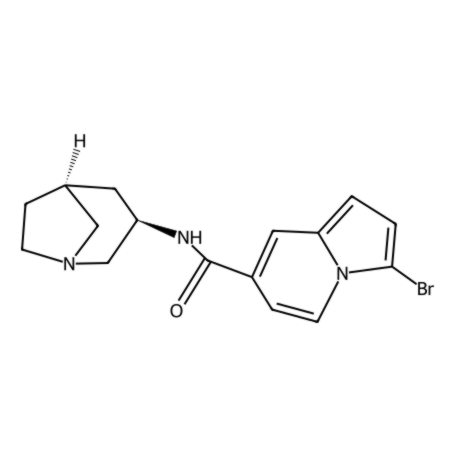 O=C(N[C@@H]1C[C@@H]2CCN(C2)C1)c1ccn2c(Br)ccc2c1